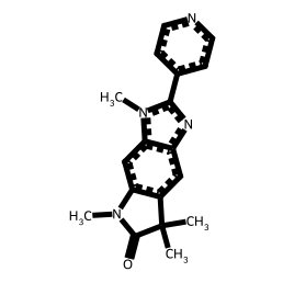 CN1C(=O)C(C)(C)c2cc3nc(-c4ccncc4)n(C)c3cc21